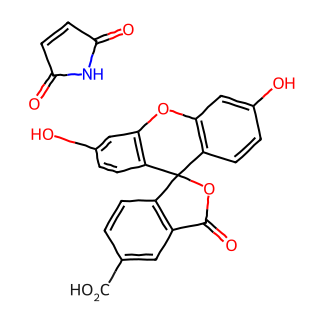 O=C(O)c1ccc2c(c1)C(=O)OC21c2ccc(O)cc2Oc2cc(O)ccc21.O=C1C=CC(=O)N1